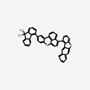 CC1(C)c2ccccc2-c2c(-c3ccc4c(c3)-c3cccc5c(-c6cccc7oc8cc9ccccc9cc8c67)ccc(c35)O4)cccc21